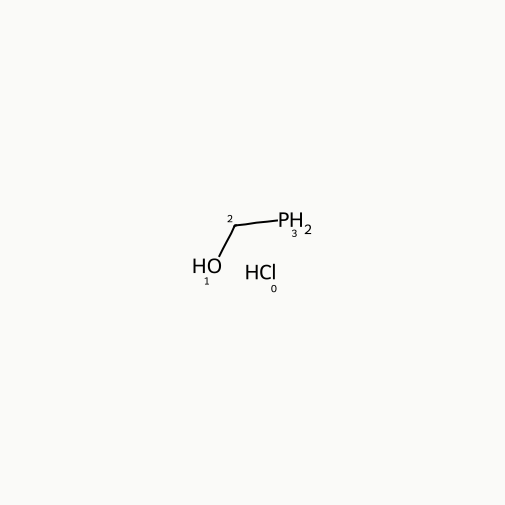 Cl.OCP